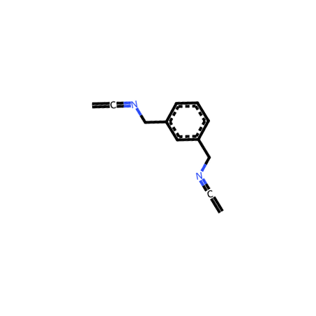 C=C=NCc1cccc(CN=C=C)c1